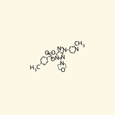 Cc1ccc(S(=O)(=O)Oc2nc(N3CCOCC3)nc3c2ncn3-c2ccnc(C)c2)cc1